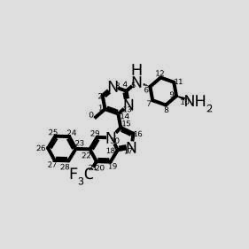 Cc1cnc(N[C@H]2CC[C@H](N)CC2)nc1-c1cnc2cc(C(F)(F)F)c(-c3ccccc3)cn12